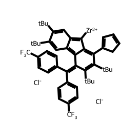 CC(C)(C)c1cc2c(cc1C(C)(C)C)=c1c(c(C3=CC=CC3)c(C(C)(C)C)c(C(C)(C)C)c1=C(c1ccc(C(F)(F)F)cc1)c1ccc(C(F)(F)F)cc1)[C]=2[Zr+2].[Cl-].[Cl-]